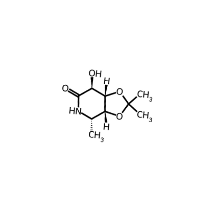 C[C@@H]1NC(=O)[C@@H](O)[C@@H]2OC(C)(C)O[C@@H]21